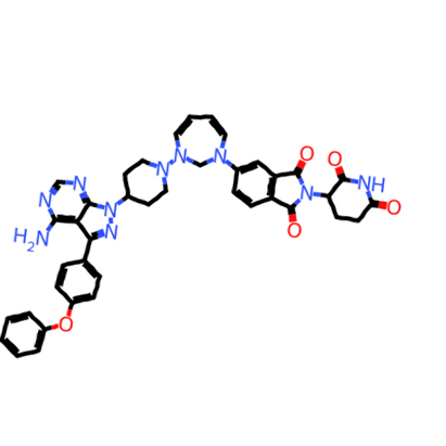 Nc1ncnc2c1c(-c1ccc(Oc3ccc(F)cc3)cc1)nn2C1CCN(N2C=CC=CN(c3ccc4c(c3)C(=O)N(C3CCC(=O)NC3=O)C4=O)C2)CC1